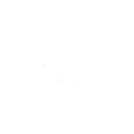 C[C@@H](N)c1c(F)ccc(F)c1F